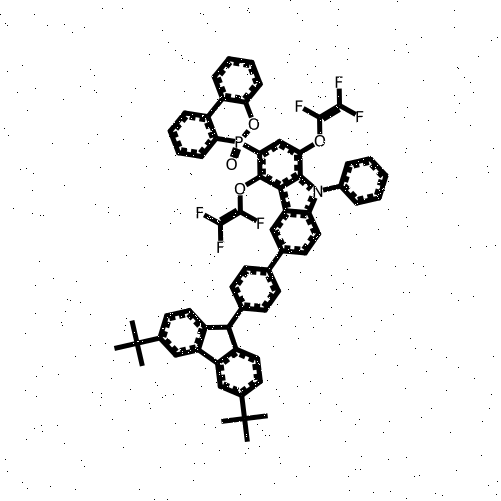 CC(C)(C)c1ccc2c(c1)-c1cc(C(C)(C)C)ccc1C2c1ccc(-c2ccc3c(c2)c2c(OC(F)=C(F)F)c(P4(=O)Oc5ccccc5-c5ccccc54)cc(OC(F)=C(F)F)c2n3-c2ccccc2)cc1